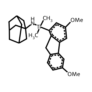 COc1ccc2c(c1)-c1cc(OC)c[c]([Ti]([CH3])([CH3])[NH]C34CC5CC(CC(C5)C3)C4)c1C2